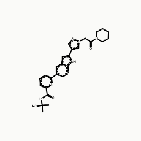 CC(C)(C#N)NC(=O)c1cccc(-c2cnc3[nH]c(-c4cnn(CC(=O)N5CCCCC5)c4)cc3c2)n1